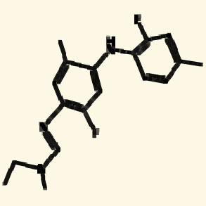 CCN(C)/C=N/c1cc(C)c(Nc2ccc(C)cc2F)cc1F